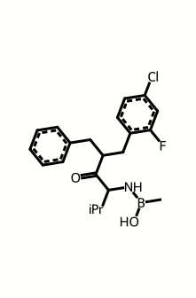 CB(O)NC(C(=O)C(Cc1ccccc1)Cc1ccc(Cl)cc1F)C(C)C